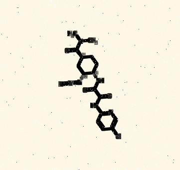 CN(C)C(=O)[C@H]1CC[C@H](NC(=O)C(=O)Nc2ccc(Cl)cn2)[C@H](N=[N+]=[N-])C1